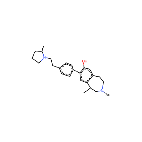 CC(=O)N1CCc2cc(O)c(-c3ccc(CCN4CCCC4C)cc3)cc2C(C)C1